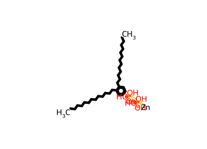 CCCCCCCCCCCCCCc1ccccc1CCCCCCCCCCCCCC.OP(O)(O)=S.OP(O)(O)=S.[Zn]